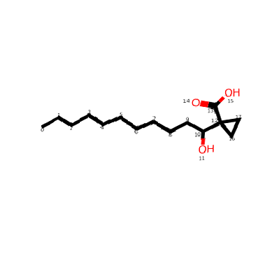 CCCCCCCCCCC(O)C1(C(=O)O)CC1